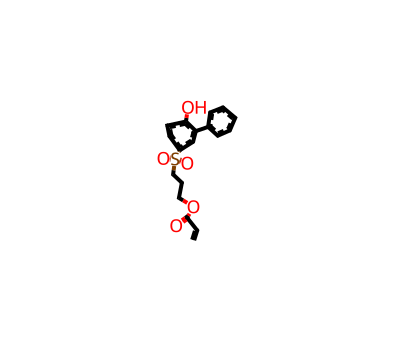 C=CC(=O)OCCCS(=O)(=O)c1ccc(O)c(-c2ccccc2)c1